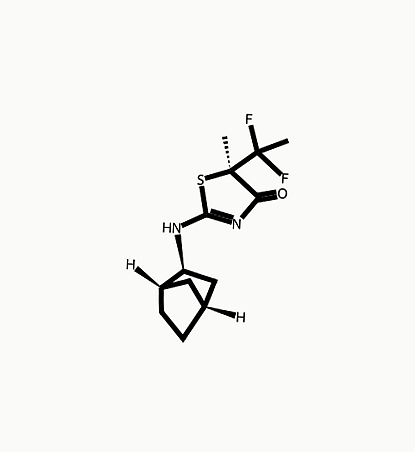 CC(F)(F)[C@]1(C)SC(N[C@H]2C[C@@H]3CC[C@H]2C3)=NC1=O